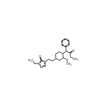 CCC(=O)N(c1ccccc1)C1CCN(CCn2nnn(CC)c2=O)CC1OC